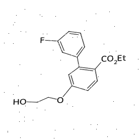 CCOC(=O)c1ccc(OCCO)cc1-c1cccc(F)c1